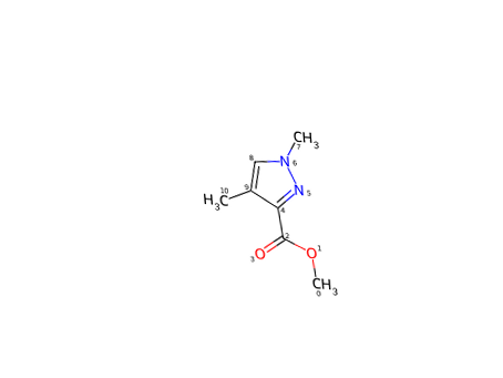 COC(=O)c1nn(C)cc1C